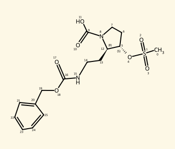 CS(=O)(=O)O[C@H]1CCN(C(=O)O)[C@@H]1CCNC(=O)OCc1ccccc1